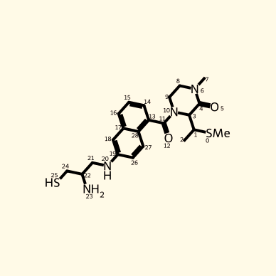 CSC(C)C1C(=O)N(C)CCN1C(=O)c1cccc2cc(NCC(N)CS)ccc12